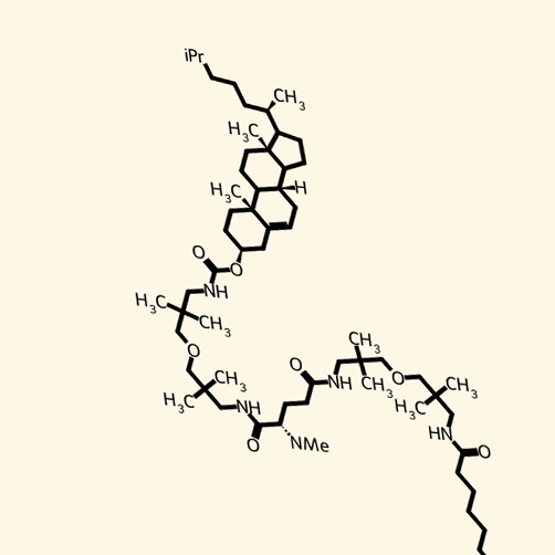 CCCCCCCCCCCCCCCC(=O)NCC(C)(C)COCC(C)(C)CNC(=O)CC[C@H](NC)C(=O)NCC(C)(C)COCC(C)(C)CNC(=O)O[C@H]1CC[C@@]2(C)C(=CC[C@H]3C4CCC([C@H](C)CCCC(C)C)[C@@]4(C)CCC32)C1